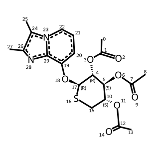 CC(=O)O[C@@H]1[C@@H](OC(C)=O)[C@H](OC(C)=O)CS[C@H]1Oc1cccn2c(C)c(C)nc12